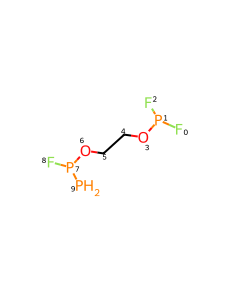 FP(F)OCCOP(F)P